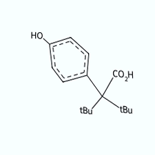 CC(C)(C)C(C(=O)O)(c1ccc(O)cc1)C(C)(C)C